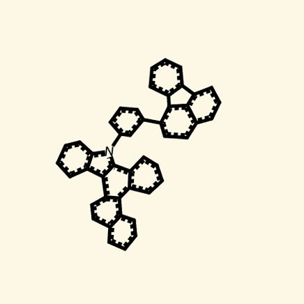 c1cc(-c2ccc3cccc4c3c2-c2ccccc2-4)cc(-n2c3ccccc3c3c4ccc5ccccc5c4c4ccccc4c32)c1